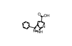 O=C(O)c1cnc2[nH]nc(-c3ccccc3)c2c1